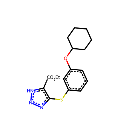 CCOC(=O)c1[nH]nnc1Sc1cccc(OC2CCCCC2)c1